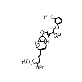 CCCC(CCCC1=CC[C@@H]2[C@@H](/C=C/[C@@H](O)COc3cccc(C)c3)[C@H](O)C[C@@H]2OC1)C(=O)O